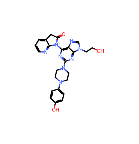 O=C1Cc2cccnc2N1c1nc(N2CCN(c3ccc(O)cc3)CC2)nc2c1ncn2CCO